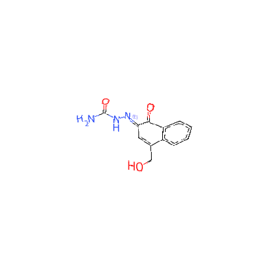 NC(=O)N/N=C1\C=C(CO)c2ccccc2C1=O